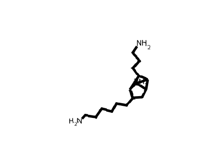 BC12C3CC(CCCCCCN)C1C(CCCN)C32